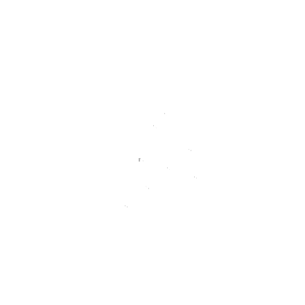 CCOCc1nn(CCOCC(F)(F)F)c2c(Nc3ccncn3)nc(N3CCC(CO)CC3)nc12